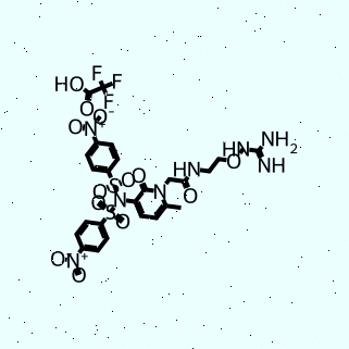 Cc1ccc(N(S(=O)(=O)c2ccc([N+](=O)[O-])cc2)S(=O)(=O)c2ccc([N+](=O)[O-])cc2)c(=O)n1CC(=O)NCCONC(=N)N.O=C(O)C(F)(F)F